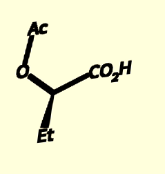 CC[C@@H](OC(C)=O)C(=O)O